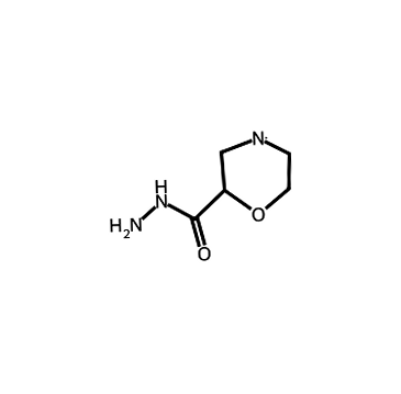 NNC(=O)C1C[N]CCO1